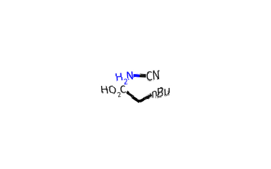 CCCCCC(=O)O.N#CN